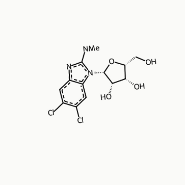 CNc1nc2cc(Cl)c(Cl)cc2n1[C@@H]1O[C@H](CO)[C@H](O)[C@@H]1O